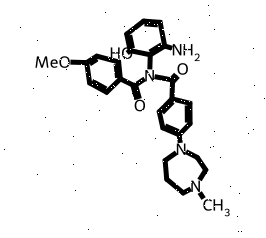 COc1ccc(C(=O)N(C(=O)c2ccc(N3CCCN(C)CC3)cc2)c2c(N)cccc2O)cc1